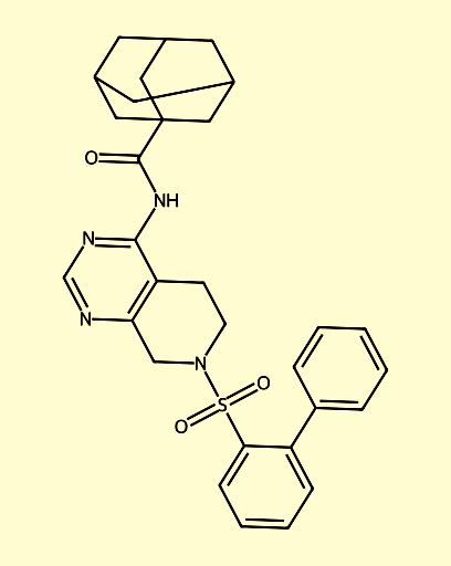 O=C(Nc1ncnc2c1CCN(S(=O)(=O)c1ccccc1-c1ccccc1)C2)C12CC3CC(CC(C3)C1)C2